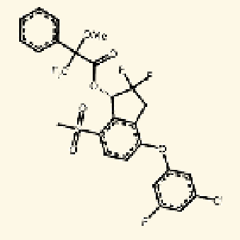 COC(C(=O)O[C@H]1c2c(S(C)(=O)=O)ccc(Oc3cc(F)cc(Cl)c3)c2CC1(F)F)(c1ccccc1)C(F)(F)F